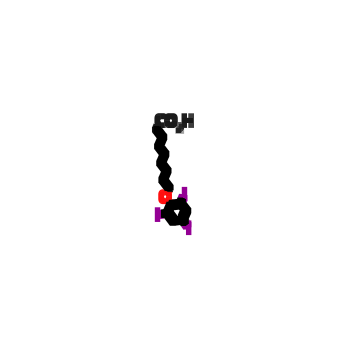 O=C(O)CCCCCCCCOc1c(I)cc(I)cc1I